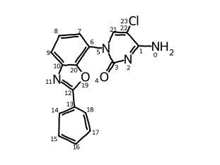 Nc1nc(=O)n(-c2cccc3nc(-c4ccccc4)oc23)cc1Cl